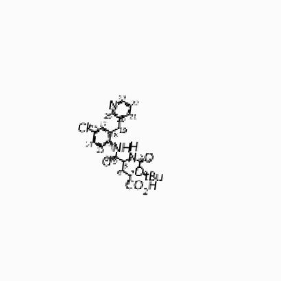 CC(C)(C)OC(=O)NC(CCC(=O)O)C(=O)Nc1ccc(Cl)cc1Cc1cccnc1